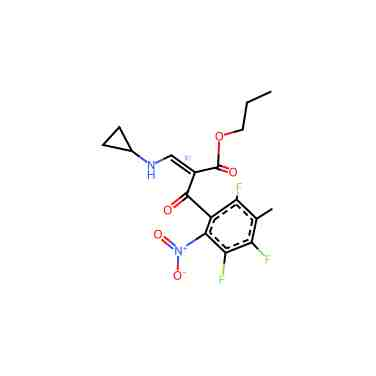 CCCOC(=O)/C(=C/NC1CC1)C(=O)c1c(F)c(C)c(F)c(F)c1[N+](=O)[O-]